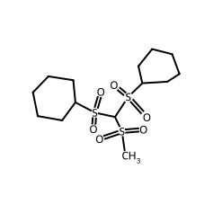 CS(=O)(=O)C(S(=O)(=O)C1CCCCC1)S(=O)(=O)C1CCCCC1